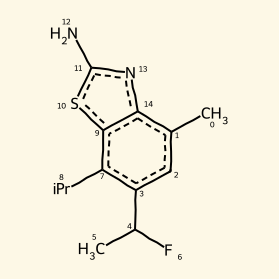 Cc1cc(C(C)F)c(C(C)C)c2sc(N)nc12